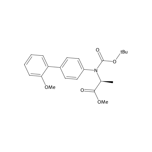 COC(=O)[C@H](C)N(C(=O)OC(C)(C)C)c1ccc(-c2ccccc2OC)cc1